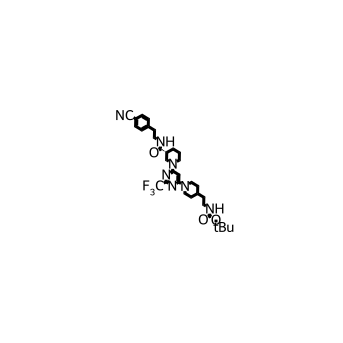 CC(C)(C)OC(=O)NCCC1CCN(c2cc(N3CCC[C@@H](C(=O)NCCc4ccc(C#N)cc4)C3)nc(C(F)(F)F)n2)CC1